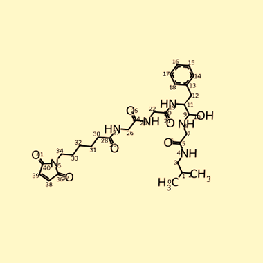 CC(C)CNC(=O)CNC(O)[C@H](Cc1ccccc1)NC(=O)CNC(=O)CNC(=O)CCCCCN1C(=O)C=CC1=O